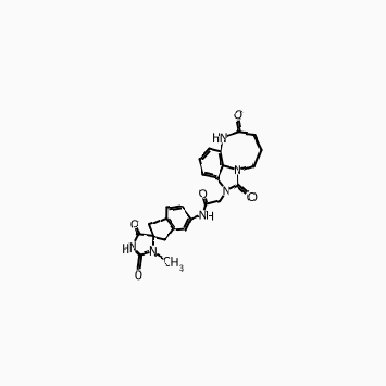 CN1C(=O)NC(=O)C12Cc1ccc(NC(=O)Cn3c(=O)n4c5c(cccc53)NC(=O)CCC4)cc1C2